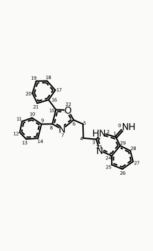 N=c1[nH]c(CCc2nc(-c3ccccc3)c(-c3ccccc3)o2)nc2ccccc12